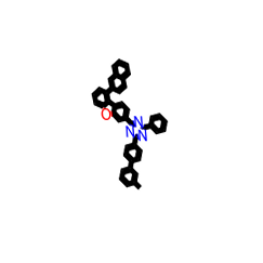 Cc1cccc(-c2ccc(-c3nc(-c4ccccc4)nc(-c4ccc5c(c4)oc4cccc(-c6ccc7ccccc7c6)c45)n3)cc2)c1